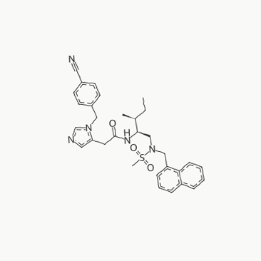 CC[C@H](C)[C@@H](CN(Cc1cccc2ccccc12)S(C)(=O)=O)NC(=O)Cc1cncn1Cc1ccc(C#N)cc1